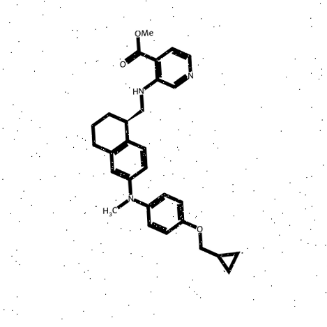 COC(=O)c1ccncc1NC[C@@H]1CCCc2cc(N(C)c3ccc(OCC4CC4)cc3)ccc21